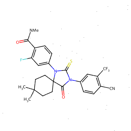 CNC(=O)c1ccc(N2C(=S)N(c3ccc(C#N)c(C(F)(F)F)c3)C(=O)C23CCC(C)(C)CC3)cc1F